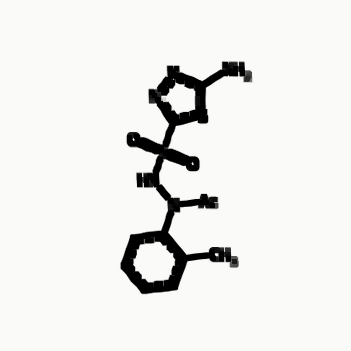 CC(=O)N(NS(=O)(=O)c1nnc(N)s1)c1ccccc1C